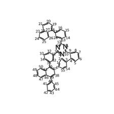 c1ccc(-c2ccccc2-c2nc(-c3cccc(-c4cccc5ccccc45)c3)nc(-c3cccc(-c4ccc(-c5ccccc5)c5ccccc45)c3)n2)cc1